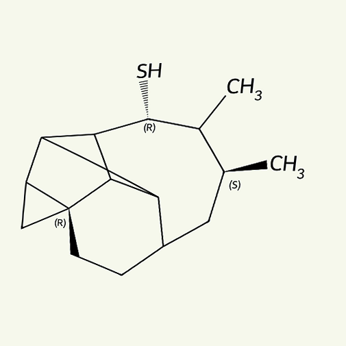 CC1[C@@H](S)C2C3C4C(CC[C@]5(CC35)C42)C[C@@H]1C